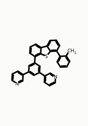 Cc1ccccc1-c1cccc2c1sc1c(-c3cc(-c4cccnc4)cc(-c4cccnc4)c3)cccc12